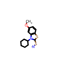 COc1ccc2c(c1)N(C1CCCCC1)C(S[N])S2